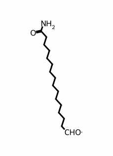 NC(=O)CCCCCCCCCCCCCC[C]=O